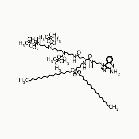 CCCCCCCCCCCCCCCCOP(=O)(CCCN[C@@H](CCC(=O)NCCCN(CCCCN(CCCNC(=O)OC(C)(C)C)C(=O)OC(C)(C)C)C(=O)OC(C)(C)C)C(=O)NCCCn1cnc2c(N)nc3ccccc3c21)OCCCCCCCCCCCCCCCC